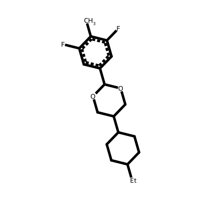 CCC1CCC(C2COC(c3cc(F)c(C)c(F)c3)OC2)CC1